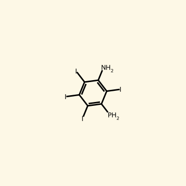 Nc1c(I)c(P)c(I)c(I)c1I